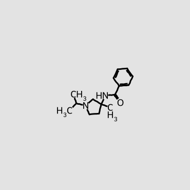 CC(C)N1CCC(C)(NC(=O)c2ccccc2)C1